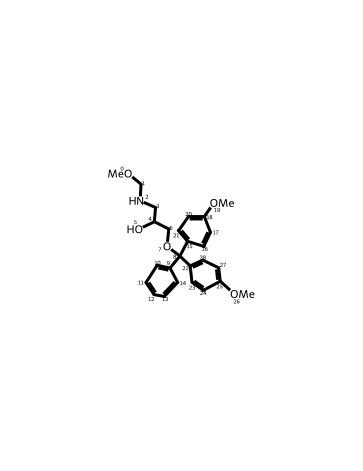 COCNCC(O)COC(c1ccccc1)(c1ccc(OC)cc1)c1ccc(OC)cc1